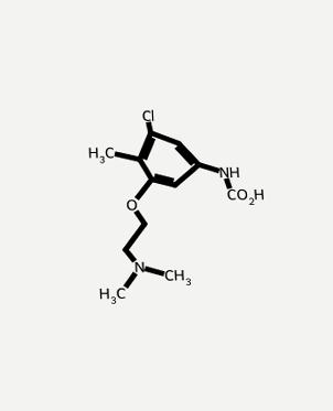 Cc1c(Cl)cc(NC(=O)O)cc1OCCN(C)C